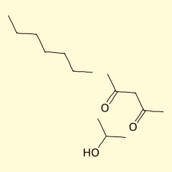 CC(=O)CC(C)=O.CC(C)O.CCCCCCC